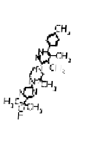 Cc1ccc(-c2nnc(N3CCN(c4cnc(C(C)(C)O)cn4)[C@H](C)C3)c(C)c2C)cc1